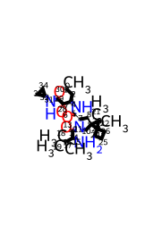 CCCC(NC(=O)[C@@H]1C[C@@]2(CN1C(=O)[C@@H](N)C(C)(C)C)C(C)(C)C21CCC1)C(=O)C(=O)NC1CC1